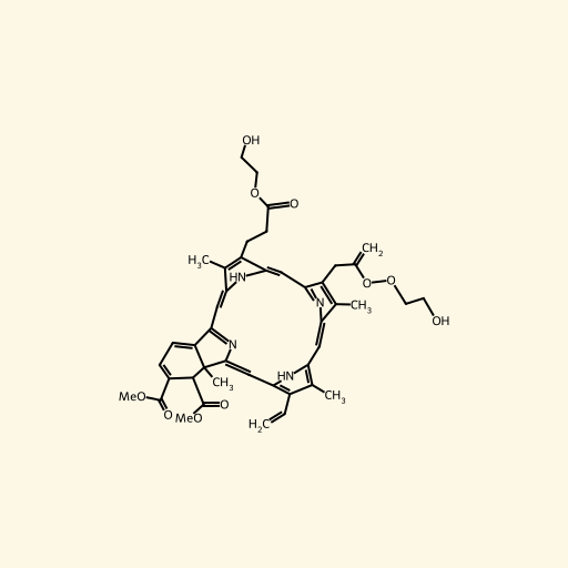 C=Cc1c(C)c2cc3nc(cc4[nH]c(cc5nc(cc1[nH]2)C1(C)C5=CC=C(C(=O)OC)C1C(=O)OC)c(C)c4CCC(=O)OCCO)C(CC(=C)OOCCO)=C3C